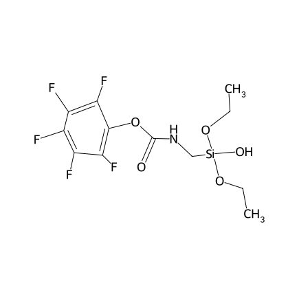 CCO[Si](O)(CNC(=O)Oc1c(F)c(F)c(F)c(F)c1F)OCC